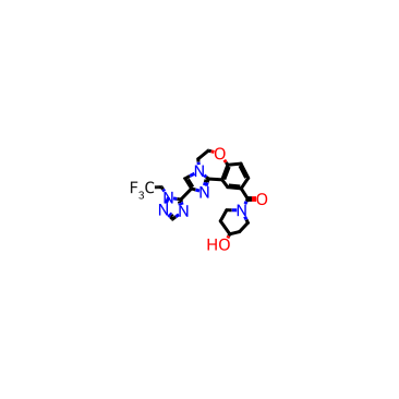 O=C(c1ccc2c(c1)-c1nc(-c3ncnn3CC(F)(F)F)cn1CCO2)N1CCC(O)CC1